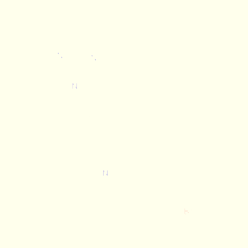 Brc1ccc(CN2CCC(C3(c4ccccc4)CCCN(c4ncccn4)C3)CC2)cc1